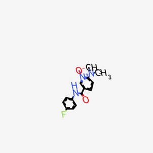 CN(C)c1ccc(C(=O)Nc2ccc(F)cc2)c[n+]1[O-]